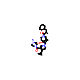 C[C@H](CC1CCCCC1)C(=O)N1CC[C@@](O)(CN2C=C(C(=O)N3CCNCC3)C(C3CC3)=CC2)C(C)(C)C1